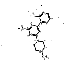 CN1CCN(c2cc(-c3ccccc3O)nc(N)n2)CC1